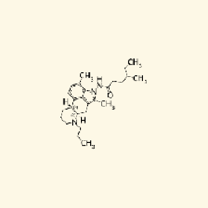 CCCN1CCC[C@@H]2c3ccc(C)c4c3c(c(C)n4NC(=O)CCC(C)CC)C[C@H]21